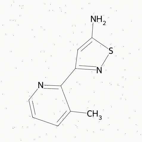 Cc1cccnc1-c1cc(N)sn1